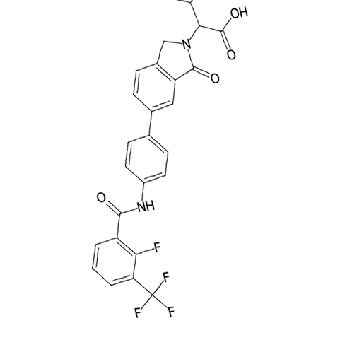 CC(C)C(C(=O)O)N1Cc2ccc(-c3ccc(NC(=O)c4cccc(C(F)(F)F)c4F)cc3)cc2C1=O